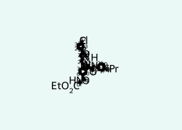 CCOC(=O)CNC(=O)c1ccc2c(c1)c(C(=O)NC1CCN(C(C)C)CC1)nn2Cc1cc(-c2ccc(Cl)s2)on1